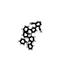 N#Cc1cccc(C#N)c1-c1ccc(-n2c3ccccc3c3c2ccc2c4ccccc4n(-c4ccccc4)c23)c(-c2ccccc2)c1